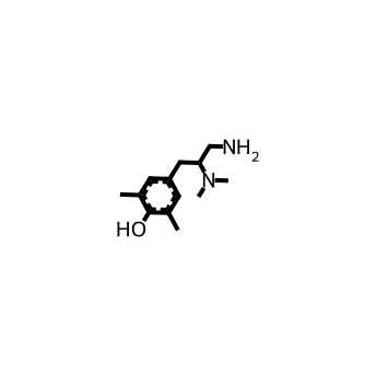 Cc1cc(CC(CN)N(C)C)cc(C)c1O